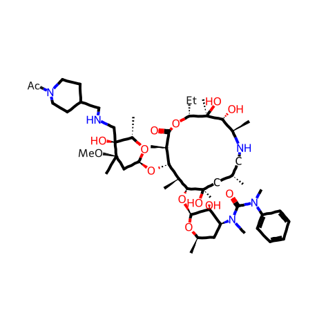 CC[C@H]1OC(=O)[C@H](C)[C@@H](O[C@H]2C[C@@](C)(OC)[C@](O)(CNCC3CCN(C(C)=O)CC3)[C@H](C)O2)[C@H](C)[C@@H](O[C@@H]2O[C@H](C)C[C@H](N(C)C(=O)N(C)c3ccccc3)[C@H]2O)[C@](C)(O)C[C@@H](C)CN[C@H](C)[C@@H](O)[C@]1(C)O